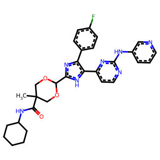 CC1(C(=O)NC2CCCCC2)COC(c2nc(-c3ccc(F)cc3)c(-c3ccnc(Nc4cccnc4)n3)[nH]2)OC1